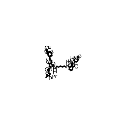 CCCc1cc(C(=O)NC(=Cc2ccc(-c3cccc(OC(F)(F)F)c3)nc2)C(=O)NCCCCCCNc2cccc3c2C(=O)N(C2CCC(=O)NC2=O)C3=O)sc1C